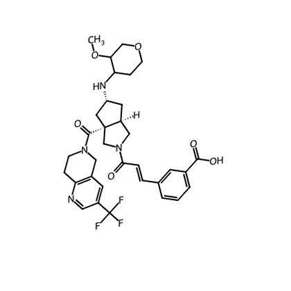 COC1COCCC1N[C@@H]1C[C@H]2CN(C(=O)/C=C/c3cccc(C(=O)O)c3)C[C@@]2(C(=O)N2CCc3ncc(C(F)(F)F)cc3C2)C1